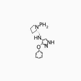 PN1CCC[C@H]1CNc1c[nH]nc1Oc1ccccc1